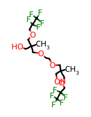 CC(CO)(COCCOCC(C)(CO)COCC(F)(F)C(F)(F)F)COCC(F)(F)C(F)(F)F